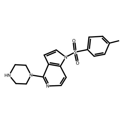 Cc1ccc(S(=O)(=O)n2ccc3c(N4CCNCC4)nccc32)cc1